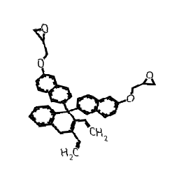 C=CC1=C(C=C)C(c2ccc3cc(OCC4CO4)ccc3c2)(c2ccc3cc(OCC4CO4)ccc3c2)c2ccccc2C1